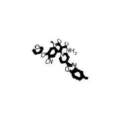 Cc1ccc2oc(C3CCN(c4c(C(N)=O)c(=O)n(C)c5cc(O[C@H]6CCOC6)c(C#N)cc45)CC3)nc2c1